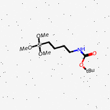 CO[Si](CCCCNC(=O)OC(C)(C)C)(OC)OC